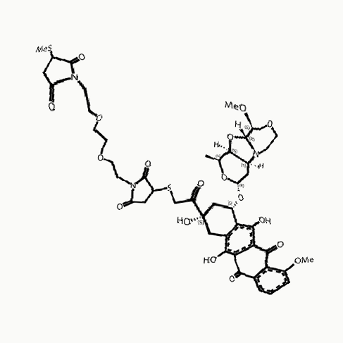 COc1cccc2c1C(=O)c1c(O)c3c(c(O)c1C2=O)C[C@@](O)(C(=O)CSC1CC(=O)N(CCOCCOCCN2C(=O)CC(SC)C2=O)C1=O)C[C@@H]3O[C@H]1C[C@H]2[C@H](O[C@@H]3[C@@H](OC)OCCN32)[C@H](C)O1